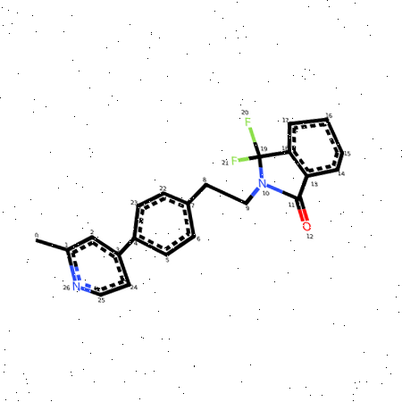 Cc1cc(-c2ccc(CCN3C(=O)c4ccccc4C3(F)F)cc2)ccn1